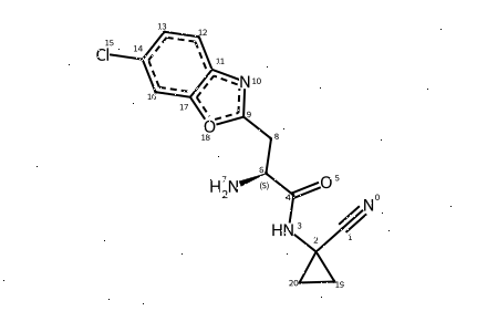 N#CC1(NC(=O)[C@@H](N)Cc2nc3ccc(Cl)cc3o2)CC1